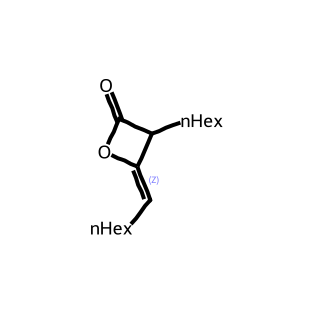 CCCCCC/C=C1\OC(=O)C1CCCCCC